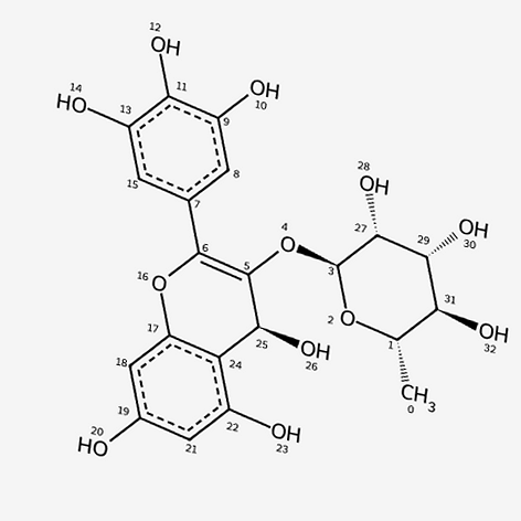 C[C@@H]1O[C@@H](OC2=C(c3cc(O)c(O)c(O)c3)Oc3cc(O)cc(O)c3[C@@H]2O)[C@H](O)[C@H](O)[C@H]1O